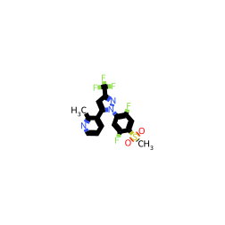 Cc1ncccc1-c1cc(C(F)(F)F)nn1-c1cc(F)c(S(C)(=O)=O)cc1F